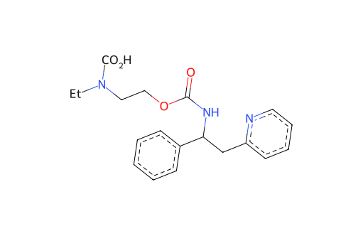 CCN(CCOC(=O)NC(Cc1ccccn1)c1ccccc1)C(=O)O